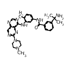 Cc1ccc(NC(=O)c2cccc(C(C)(C)N)c2)cc1Nc1ncnc2cnc(N3CCN(C)CC3)nc12